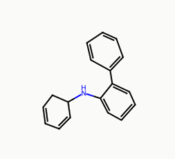 C1=CCC(Nc2ccccc2-c2ccccc2)C=C1